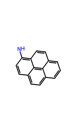 [NH]c1ccc2ccc3cccc4ccc1c2c34